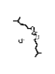 CC(C)CCC[O][Al+][O]CCCC(C)C.[Cl-]